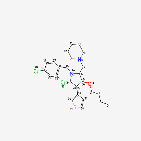 CCCCO[C@@H]1C(CN2CCCCC2)N(Cc2ccc(Cl)cc2Cl)C[C@@H]1c1ccsc1